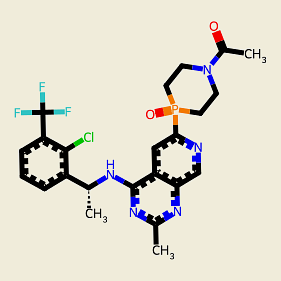 CC(=O)N1CCP(=O)(c2cc3c(N[C@H](C)c4cccc(C(F)(F)F)c4Cl)nc(C)nc3cn2)CC1